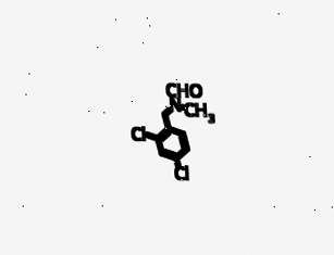 CN(C=O)Cc1ccc(Cl)cc1Cl